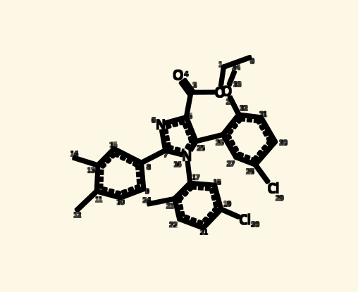 CCOC(=O)c1nc(-c2ccc(C)c(C)c2)n(-c2cc(Cl)ccc2C)c1-c1cc(Cl)ccc1OC